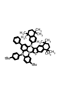 CC(C)(C)c1ccc(N2c3ccc(C(C)(C)C)cc3B3c4sc5cc6c(cc5c4N(c4ccc5c(c4)C(C)(C)CCC5(C)C)c4cc(-c5ccccc5)cc2c43)C(C)(C)CCC6(C)C)cc1